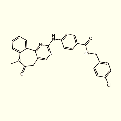 CN1C(=O)Cc2cnc(Nc3ccc(C(=O)NCc4ccc(Cl)cc4)cc3)nc2-c2ccccc21